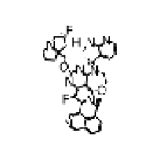 C#Cc1cccc2cncc(-c3nc4c5c(nc(OC[C@@]67CCCN6C[C@H](F)C7)nc5c3F)N([C@H](C)c3cccnc3N)CCO4)c12